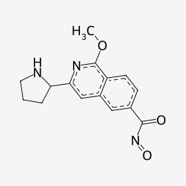 COc1nc(C2CCCN2)cc2cc(C(=O)N=O)ccc12